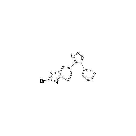 Brc1nc2ccc(-c3ocnc3-c3ccccc3)cc2s1